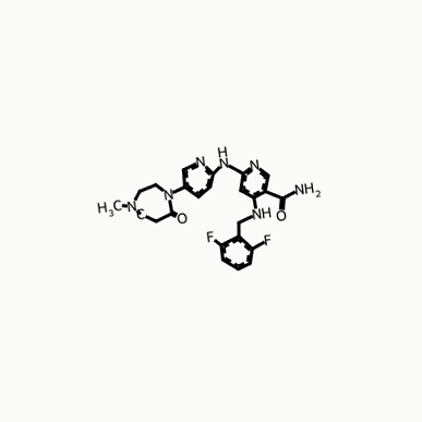 CN1CCC(=O)N(c2ccc(Nc3cc(NCc4c(F)cccc4F)c(C(N)=O)cn3)nc2)CC1